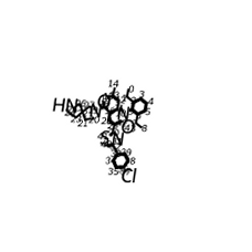 CCc1cccc(CC)c1-n1c(C=C(C)C)c(C(=O)N2CCC3(CCNC3)C2)cc(-c2nc(-c3ccc(Cl)cc3)cs2)c1=O